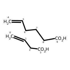 C=CCC(=O)O.C=CCCCC(=O)O